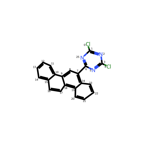 Clc1nc(Cl)nc(-c2cc3c4ccccc4ccc3c3ccccc23)n1